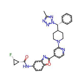 Cc1nnn([C@H](c2ccccc2)C2CCN(c3cc(-c4nc5cc(NC(=O)[C@@H]6C[C@@H]6F)ccc5o4)ccn3)CC2)n1